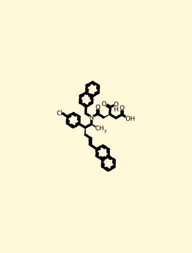 C[C@@H]([C@@H](C/C=C/c1ccc2ccccc2c1)c1ccc(Cl)cc1)N(Cc1ccc2ccccc2c1)C(=O)C[C@H](CC(=O)O)C(=O)O